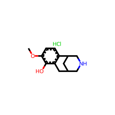 COc1ccc2c(c1O)CC1CNCC2C1.Cl